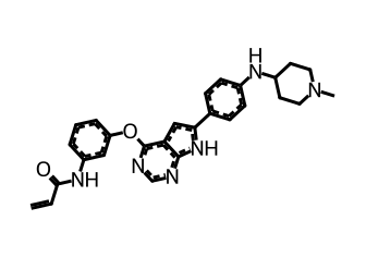 C=CC(=O)Nc1cccc(Oc2ncnc3[nH]c(-c4ccc(NC5CCN(C)CC5)cc4)cc23)c1